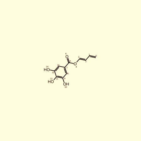 C=CC=COC(=O)c1cc(O)c(O)c(O)c1